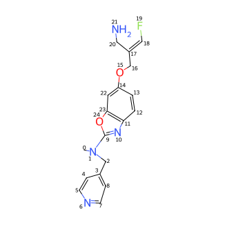 CN(Cc1ccncc1)c1nc2ccc(OC/C(=C/F)CN)cc2o1